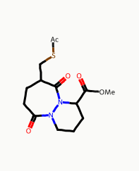 COC(=O)C1CCCN2C(=O)CCC(CSC(C)=O)C(=O)N12